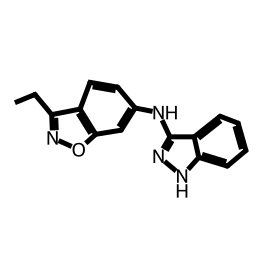 CCc1noc2cc(Nc3n[nH]c4ccccc34)ccc12